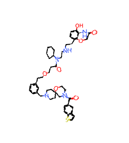 O=C1COc2c(CCNCCN(C(=O)CCOCCc3cccc(CN4CCC5(CC4)CN(C(=O)c4ccc6sccc6c4)CCO5)c3)C3CCCCC3)ccc(O)c2N1